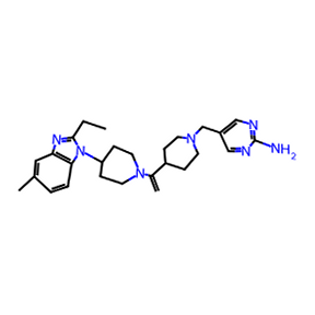 C=C(C1CCN(Cc2cnc(N)nc2)CC1)N1CCC(n2c(CC)nc3cc(C)ccc32)CC1